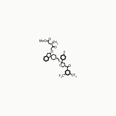 COC(=O)CN(C)C(=O)CO[C@H]1Cc2ccccc2C12CCN(CC[C@]1(c3ccc(F)cc3)CN(C(=O)c3cc(C(F)(F)F)cc(C(F)(F)F)c3)CO1)CC2